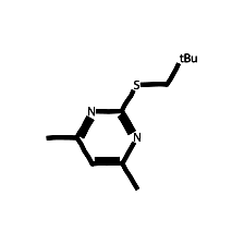 Cc1cc(C)nc(SCC(C)(C)C)n1